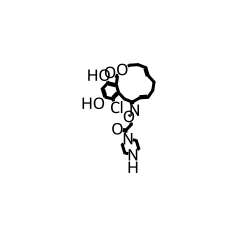 O=C1OCC/C=C/CC/C=C/C(=NOCC(=O)N2CCNCC2)Cc2c(Cl)c(O)cc(O)c21